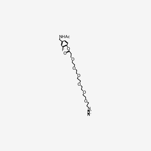 CC(=O)NCc1ccc(OC(=O)CCOCCOCCOCCOCCOCCOCCN=[N+]=[N-])c(F)c1